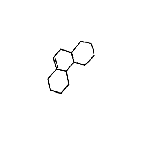 C1=C2CCCCC2C2CCCCC2C1